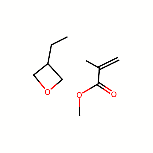 C=C(C)C(=O)OC.CCC1COC1